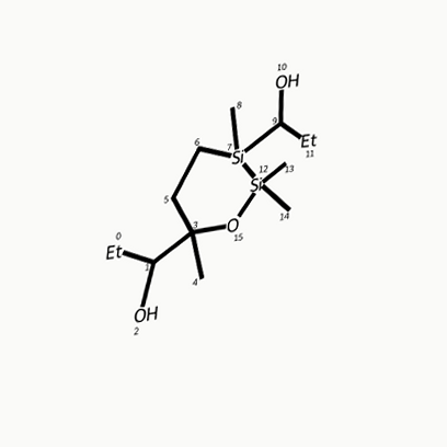 CCC(O)C1(C)CC[Si](C)(C(O)CC)[Si](C)(C)O1